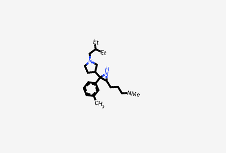 CCC(CC)CN1CCC(C2(c3cccc(C)c3)NC2CCCNC)C1